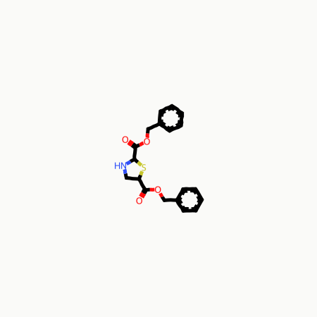 O=C(OCc1ccccc1)C1CNC(C(=O)OCc2ccccc2)S1